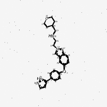 c1cc(-c2ccc(Oc3ccc4nn(CCNCC5CCOCC5)cc4c3)cc2)[nH]n1